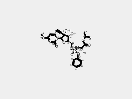 C#C[C@]1(O)C(n2ccc(OC)nc2=O)O[C@H](COP(=O)(N[C@@H](C)C(=O)OC(C)C)Oc2ccccc2)[C@H]1O